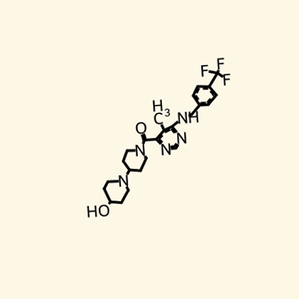 Cc1c(NCc2ccc(C(F)(F)F)cc2)ncnc1C(=O)N1CCC(N2CCC(O)CC2)CC1